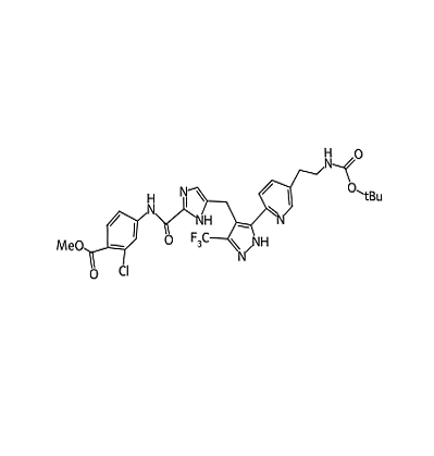 COC(=O)c1ccc(NC(=O)c2ncc(Cc3c(C(F)(F)F)n[nH]c3-c3ccc(CCNC(=O)OC(C)(C)C)cn3)[nH]2)cc1Cl